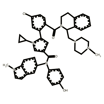 CN1CCN(CC2c3ccccc3CCN2C(=O)c2ccc(Cl)cc2-c2cc(C(=O)N(c3ccc(O)cc3)c3ccc4c(ccn4C)c3)cn2C2CC2)CC1